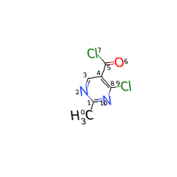 Cc1ncc(C(=O)Cl)c(Cl)n1